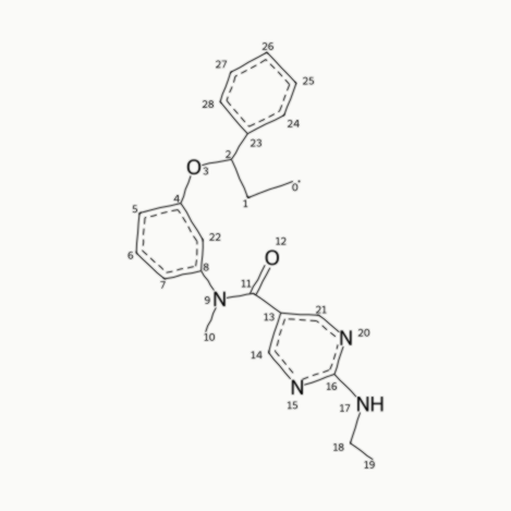 [CH2]CC(Oc1cccc(N(C)C(=O)c2cnc(NCC)nc2)c1)c1ccccc1